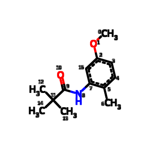 COc1ccc(C)c(NC(=O)C(C)(C)C)c1